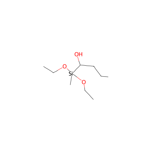 CCCC(O)[Si](C)(OCC)OCC